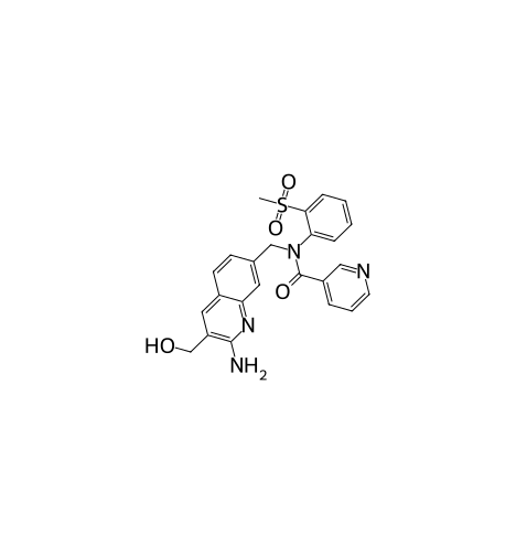 CS(=O)(=O)c1ccccc1N(Cc1ccc2cc(CO)c(N)nc2c1)C(=O)c1cccnc1